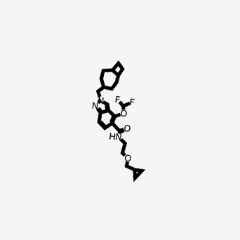 O=C(NCCOCC1CC1)c1ccc2nn(CC3CCC4CCC4CC3)cc2c1OC(F)F